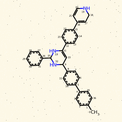 Cc1ccc(-c2ccc(C3C=C(c4ccc(C5=CCNC=C5)cc4)NC(c4ccccc4)N3)cc2)cc1